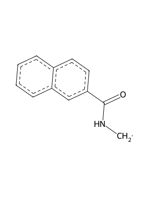 [CH2]NC(=O)c1ccc2ccccc2c1